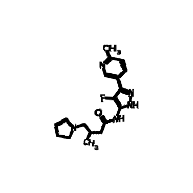 Cc1ccc(-c2n[nH]c(NC(=O)CC(C)CN3CCCC3)c2F)cn1